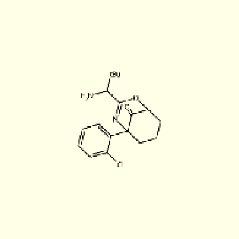 CC(C)(C)C(N)C1=NC2(c3ccccc3Cl)CCCC(O1)C2=O